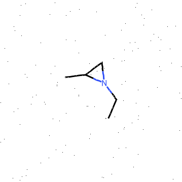 [CH2]CN1CC1C